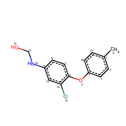 Cc1ccc(Oc2ccc(NCO)cc2Cl)cc1